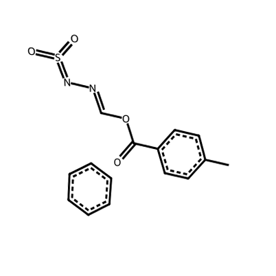 Cc1ccc(C(=O)OC=NN=S(=O)=O)cc1.c1ccccc1